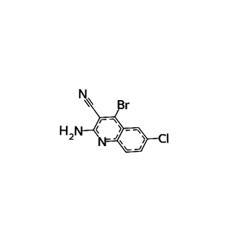 N#Cc1c(N)nc2ccc(Cl)cc2c1Br